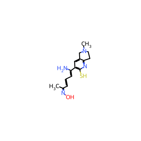 CC(/C=C/C=C(\N)c1cc2c(nc1S)CCN(C)C2)=N/O